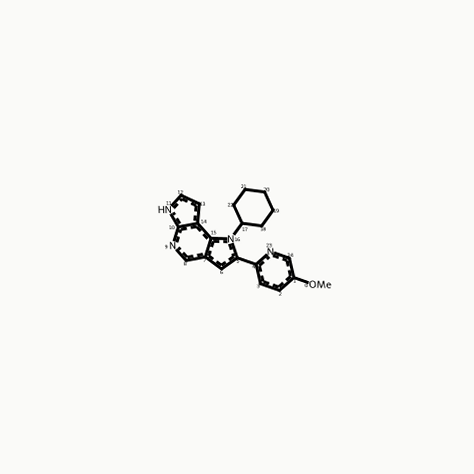 COc1ccc(-c2cc3cnc4[nH]ccc4c3n2C2CCCCC2)nc1